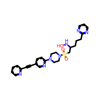 O=S(=O)(CC(CCCc1ncccn1)NO)N1CCN(c2ccc(C#Cc3ccccn3)cn2)CC1